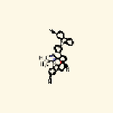 C=C/C(=C(\C=C/C)c1cc(C#N)ccc1-c1cccc(-n2c3ccccc3c3ccc(C#N)cc32)c1)n1c2ccccc2c2cc(C#N)ccc21